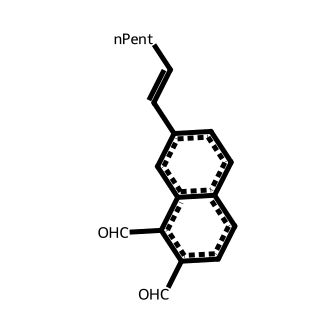 CCCCCC=Cc1ccc2ccc(C=O)c(C=O)c2c1